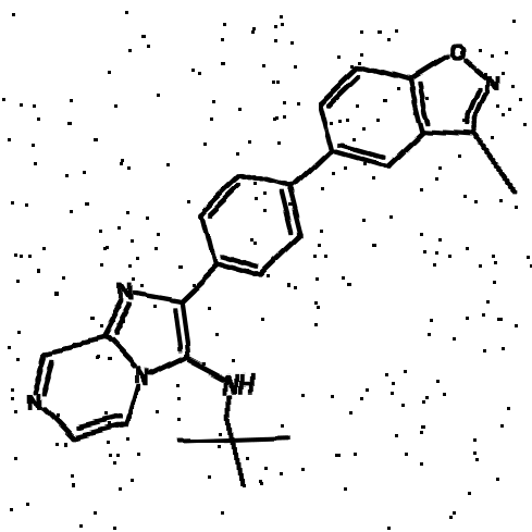 Cc1noc2ccc(-c3ccc(-c4nc5cnccn5c4NC(C)(C)C)cc3)cc12